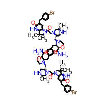 C[C@@H]1CN(CC(=O)N2CC(C)(C)c3[nH]c(=O)c(Cc4ccc(Br)cc4)cc32)[C@@H](CN2CCOC(C(N)=O)C2Cc2ccc(CC3C(C(N)=O)OCCN3C[C@H]3CN[C@H](C)CN3CC(=O)N3CC(C)(C)c4[nH]c(=O)c(Cc5ccc(Br)cc5)cc43)cc2)CN1